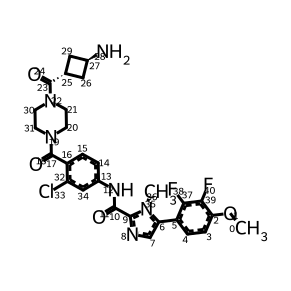 COc1ccc(-c2cnc(C(=O)Nc3ccc(C(=O)N4CCN(C(=O)[C@H]5C[C@H](N)C5)CC4)c(Cl)c3)n2C)c(F)c1F